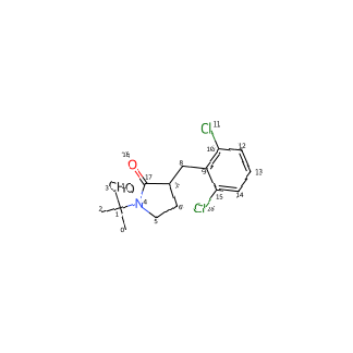 CC(C)(C=O)N1CCC(Cc2c(Cl)cccc2Cl)C1=O